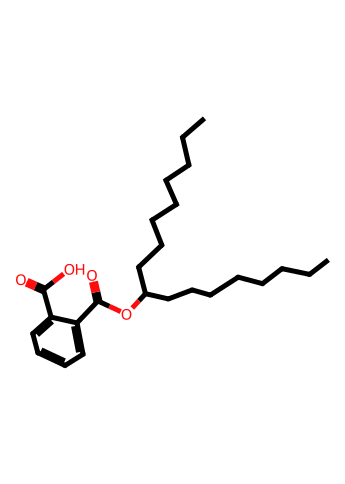 CCCCCCCCC(CCCCCCCC)OC(=O)c1ccccc1C(=O)O